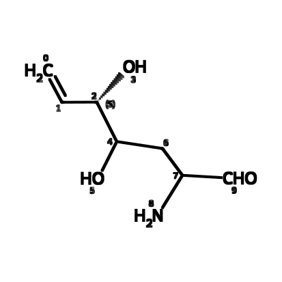 C=C[C@H](O)C(O)CC(N)C=O